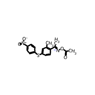 CC(=O)O/N=C(\C)c1ccc(Sc2ccc([N+](=O)[O-])cc2)cc1C